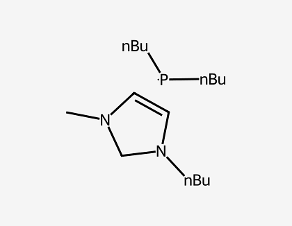 CCCCN1C=CN(C)C1.CCCC[P]CCCC